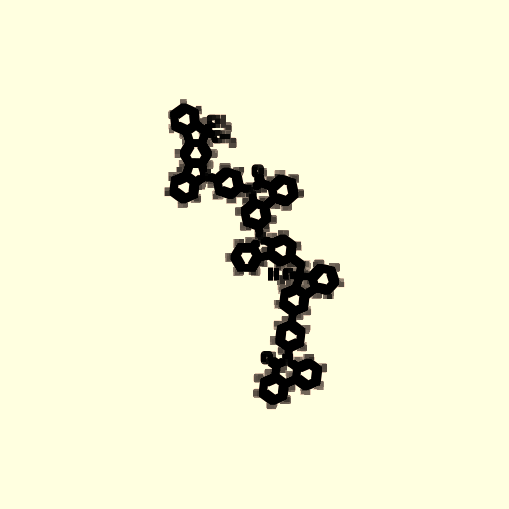 CC1(C)c2ccccc2-c2cc3c4ccccc4n(-c4ccc(-n5c(=O)c6ccccc6c6cc(-n7c8ccccc8c8cc(CC9(C)c%10ccccc%10-c%10cc(-c%11ccc(-n%12c(=O)c%13ccccc%13c%13ccccc%13%12)cc%11)ccc%109)ccc87)ccc65)cc4)c3cc21